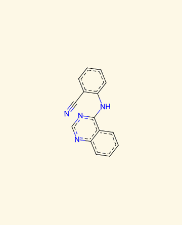 N#Cc1ccccc1Nc1ncnc2ccccc12